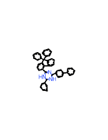 c1ccc(-c2ccc(C3N=C(c4cccc5c4-c4ccccc4C5(c4ccccc4)c4ccccc4)NC(c4ccccc4)N3)cc2)cc1